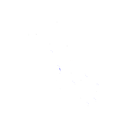 CC[C@@H](C)[C@@H](Nc1cc(F)cc(Cl)c1)C(=O)N[C@@H]1CCCN(c2ncnc3[nH]ncc23)C1